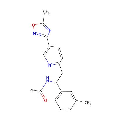 CC(C)C(=O)NC(Cc1ccc(-c2noc(C(F)(F)F)n2)cn1)c1cccc(C(F)(F)F)c1